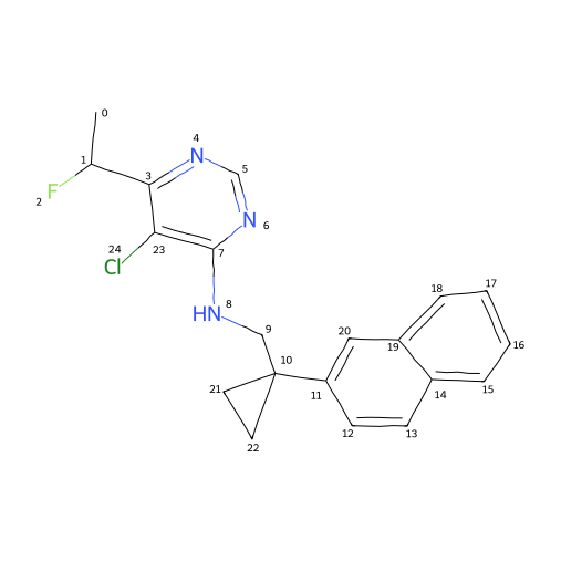 CC(F)c1ncnc(NCC2(c3ccc4ccccc4c3)CC2)c1Cl